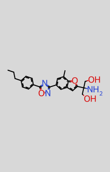 CCCc1ccc(-c2nc(-c3cc(C)c4oc(C(N)(CO)CO)cc4c3)no2)cc1